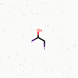 OC(I)CI